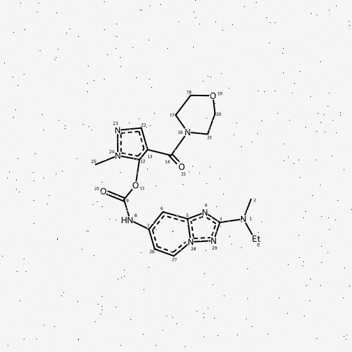 CCN(C)c1nc2cc(NC(=O)Oc3c(C(=O)N4CCOCC4)cnn3C)ccn2n1